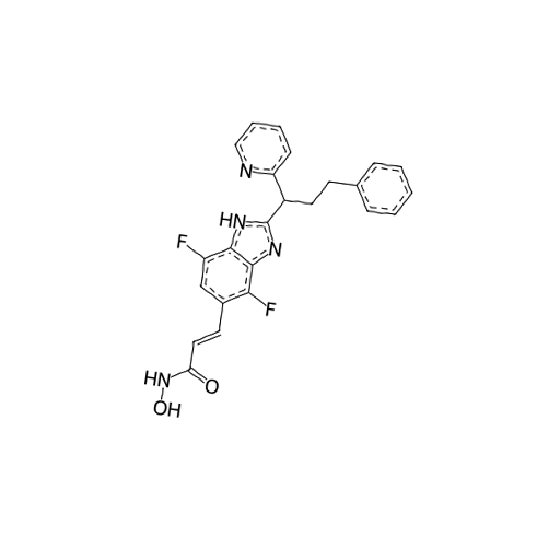 O=C(C=Cc1cc(F)c2[nH]c(C(CCc3ccccc3)c3ccccn3)nc2c1F)NO